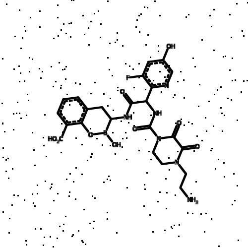 NCCN1CCN(C(=O)NC(C(=O)NC2Cc3cccc(C(=O)O)c3OB2O)c2ncc(O)cc2F)C(=O)C1=O